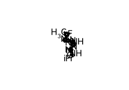 Cc1cc(F)cc(-c2nccc3[nH]c(-c4n[nH]c5cnc(-c6cncc(NC(=O)CC(C)C)c6)cc45)nc23)c1